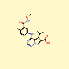 CONC(=O)c1cc(Nc2ncnn3cc(C(=O)O)c(C(C)C)c23)ccc1C